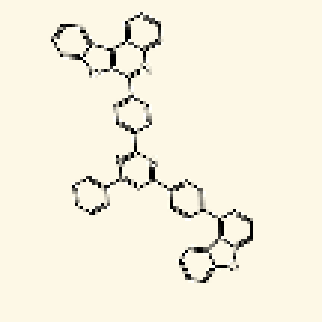 c1ccc(-c2cc(-c3ccc(-c4cccc5oc6ccccc6c45)cc3)nc(-c3ccc(-c4nc5ccccc5c5c4oc4ccccc45)cc3)n2)cc1